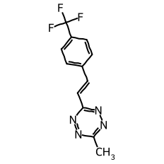 Cc1nnc(/C=C/c2ccc(C(F)(F)F)cc2)nn1